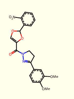 COc1ccc(C2=NN(C(=O)C3=COC(c4ccccc4[N+](=O)[O-])O3)CC2)cc1OC